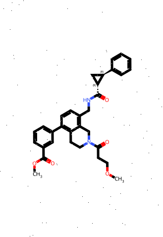 COCCC(=O)N1CCc2c(-c3cccc(C(=O)OC)c3)ccc(CNC(=O)[C@@H]3C[C@H]3c3ccccc3)c2C1